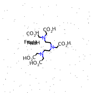 O=C(O)CN(CCN(CC(=O)O)CC(=O)O)CCN(CC(=O)O)CC(=O)O.[Fe].[NaH].[NaH]